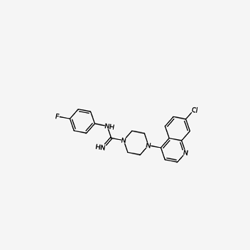 N=C(Nc1ccc(F)cc1)N1CCN(c2ccnc3cc(Cl)ccc23)CC1